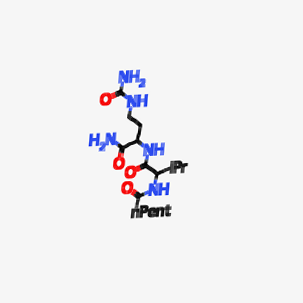 CCCCCC(=O)NC(C(=O)NC(CCNC(N)=O)C(N)=O)C(C)C